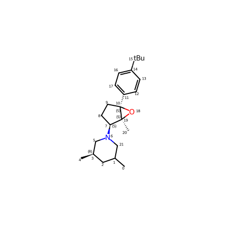 CC1C[C@@H](C)CN([C@H]2CC[C@@]3(c4ccc(C(C)(C)C)cc4)O[C@@]23C)C1